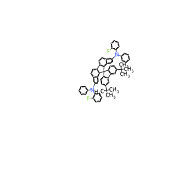 CC(C)(C)c1ccc2c(c1)-c1cc(C(C)(C)C)ccc1C21c2c(ccc3cc(N(c4ccccc4)c4ccccc4F)ccc23)-c2ccc3cc(N(c4ccccc4)c4ccccc4F)ccc3c21